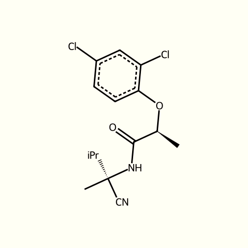 CC(C)[C@@](C)(C#N)NC(=O)[C@H](C)Oc1ccc(Cl)cc1Cl